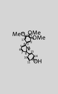 COc1cc(-c2cccc(-c3ccc(O)cc3)n2)cc(OC)c1OC